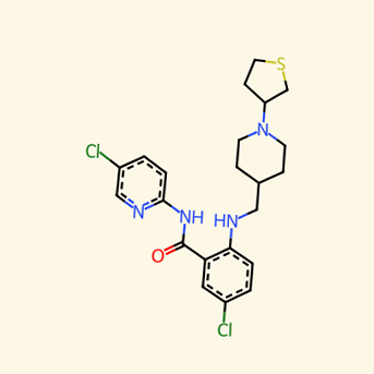 O=C(Nc1ccc(Cl)cn1)c1cc(Cl)ccc1NCC1CCN(C2CCSC2)CC1